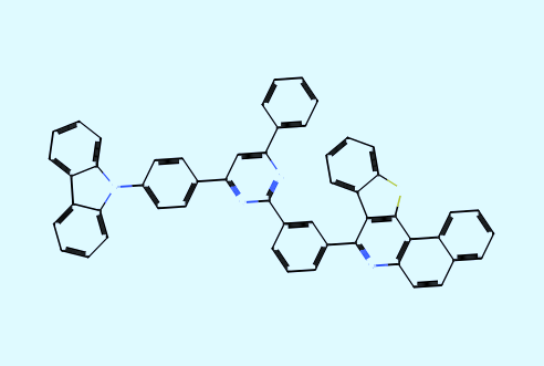 c1ccc(-c2cc(-c3ccc(-n4c5ccccc5c5ccccc54)cc3)nc(-c3cccc(-c4nc5ccc6ccccc6c5c5sc6ccccc6c45)c3)n2)cc1